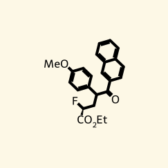 CCOC(=O)[C@@H](F)CC(C(=O)c1ccc2ccccc2c1)c1ccc(OC)cc1